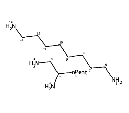 CCCCCC(N)CN.NCCCCCCCCN